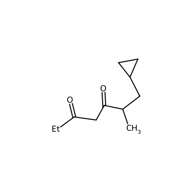 CCC(=O)CC(=O)C(C)CC1CC1